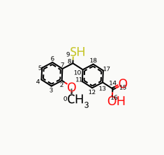 COc1ccccc1C(S)c1ccc(C(=O)O)cc1